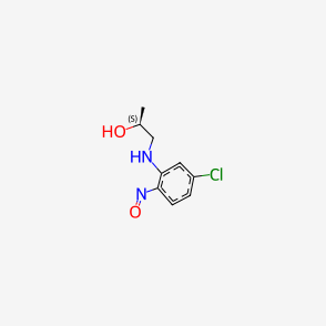 C[C@H](O)CNc1cc(Cl)ccc1N=O